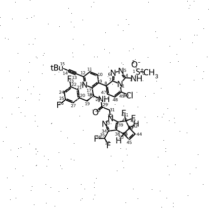 C[S+]([O-])Nc1nnc2c(-c3ccc(C#CC(C)(C)C)nc3[C@H](Cc3cc(F)cc(F)c3)NC(=O)Cn3nc(C(F)F)c4c3C(F)(F)[C@@H]3C=C[C@H]43)ccc(Cl)n12